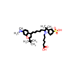 CN(C)c1ccc2c(c1)OC(C(C)(C)C)=C\C2=C/C=C/C=C/C1=[N+](CCCCCC(=O)O)c2ccc(S(=O)(=O)O)cc2C1(C)C